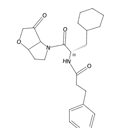 O=C(CCc1ccccc1)N[C@@H](CC1CCCCC1)C(=O)N1CCC2OCC(=O)C21